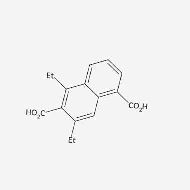 CCc1cc2c(C(=O)O)cccc2c(CC)c1C(=O)O